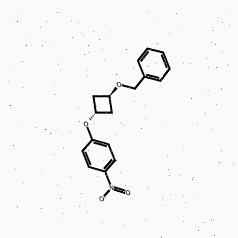 O=[N+]([O-])c1ccc(O[C@H]2C[C@H](OCc3ccccc3)C2)cc1